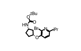 CC(C)c1ccc(O[C@@H]2CC[C@H](NC(=O)OC(C)(C)C)C2)c(Br)n1